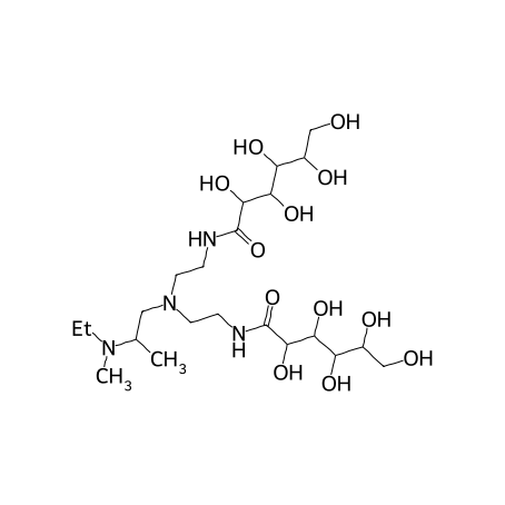 CCN(C)C(C)CN(CCNC(=O)C(O)C(O)C(O)C(O)CO)CCNC(=O)C(O)C(O)C(O)C(O)CO